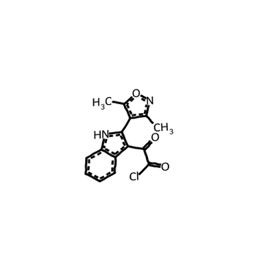 Cc1noc(C)c1-c1[nH]c2ccccc2c1C(=O)C(=O)Cl